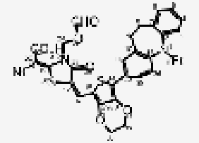 CCN1c2ccccc2CCc2cc(-c3sc(/C=c4/s/c(=C(\C#N)C(=O)O)n(COC=O)c4=O)c4c3OCCO4)ccc21